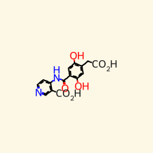 O=C(O)Cc1cc(O)c(C(=O)Nc2ccncc2C(=O)O)cc1O